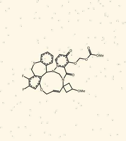 COC(=O)OCOc1c2n(ccc1=O)N1CN(C2=O)C2(/C=C/COc3cc(F)c(F)c4c3C1c1ccccc1SC4)CC(OC)C2